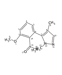 COc1cccc(-c2c(C)cnn2C)c1C(N)=O